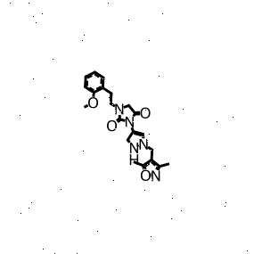 COc1ccccc1CCN1CC(=O)N(C2=CN(Cc3c(C)noc3C)NC2)C1=O